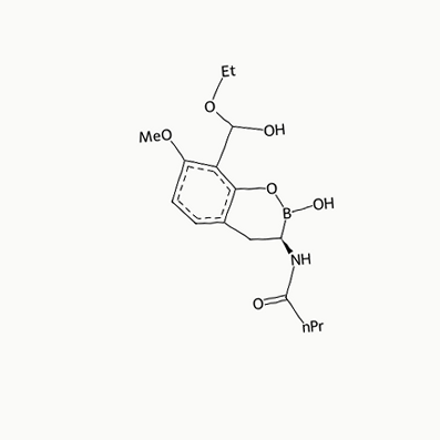 CCCC(=O)N[C@H]1Cc2ccc(OC)c(C(O)OCC)c2OB1O